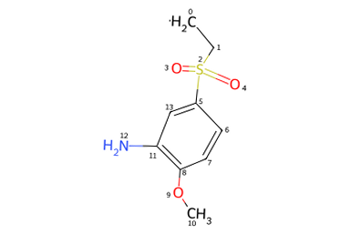 [CH2]CS(=O)(=O)c1ccc(OC)c(N)c1